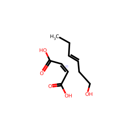 CCC=CCCO.O=C(O)/C=C\C(=O)O